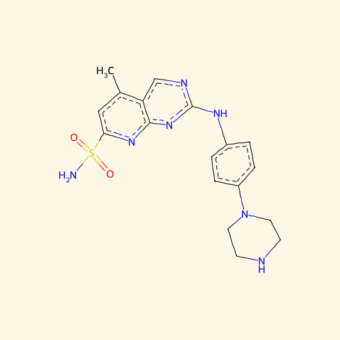 Cc1cc(S(N)(=O)=O)nc2nc(Nc3ccc(N4CCNCC4)cc3)ncc12